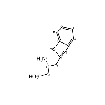 N[C@@H](CC(=O)O)Cc1cc2ccccc2s1